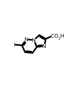 O=C(O)c1cn2nc(I)ccc2n1